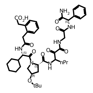 CCCC(NC(=O)[C@@H]1C[C@@H](OC(C)(C)C)CN1C(=O)[C@@H](NC(=O)Cc1ccccc1CC(=O)O)C1CCCCC1)C(=O)C(=O)NCC(=O)N[C@H](C(N)=O)c1ccccc1